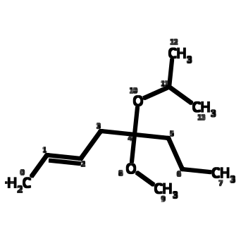 [CH2]C=CCC(CCC)(OC)OC(C)C